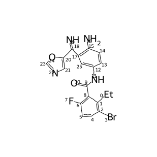 CCc1c(Br)ccc(F)c1C(=O)Nc1ccc(N)c(C(=N)c2cnco2)c1